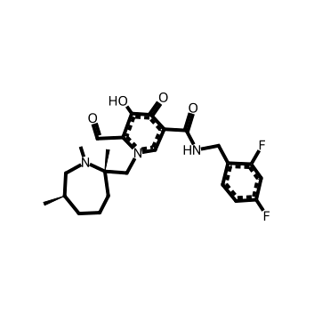 C[C@@H]1CCC[C@@](C)(Cn2cc(C(=O)NCc3ccc(F)cc3F)c(=O)c(O)c2C=O)N(C)C1